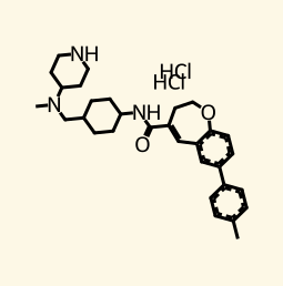 Cc1ccc(-c2ccc3c(c2)C=C(C(=O)NC2CCC(CN(C)C4CCNCC4)CC2)CCO3)cc1.Cl.Cl